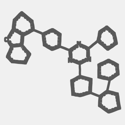 c1ccc(-c2nc(-c3ccc(-c4cccc5oc6ccccc6c45)cc3)nc(-c3cccc(-c4ccccc4-c4ccccc4)c3)n2)cc1